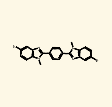 Cn1c(-c2ccc(-c3nc4cc(Br)ccc4n3C)cc2)nc2cc(Br)ccc21